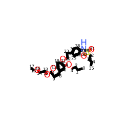 CCCCOc1cc(/C=C\C(=O)OCCOCC)ccc1OCCc1ccc(NS(=O)(=O)CCCC)cc1